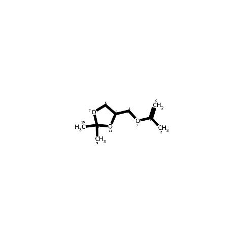 C=C(C)OCC1COC(C)(C)O1